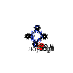 O=[S](=O)(O)[Cu]([S](=O)(=O)O)([S](=O)(=O)O)([S](=O)(=O)O)([S](=O)(=O)O)([S](=O)(=O)O)([S](=O)(=O)O)[S](=O)(=O)Oc1cccc2c3nc4nc(nc5[nH]c(nc6nc(nc([nH]3)c12)-c1ccccc1-6)c1ccccc51)-c1ccccc1-4